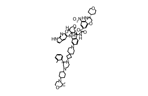 Cc1ccccc1[C@@H]1CN(C2CCC(N3CCOC[C@@H]3C)CC2)CCN1C1CC2(CCN(c3ccc(C(=O)NS(=O)(=O)c4cc5c(c([N+](=O)[O-])c4)N[C@H](C4CCOCC4)CO5)c(N4c5cc6cc[nH]c6nc5O[C@H]5COCC[C@@H]54)c3)CC2)C1